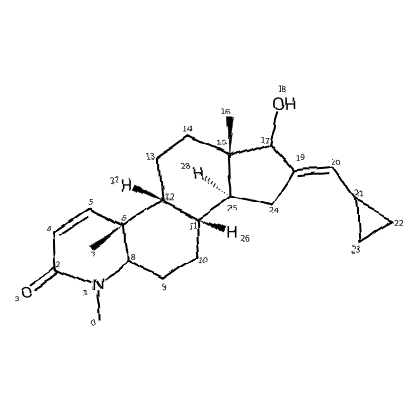 CN1C(=O)C=C[C@@]2(C)C1CC[C@@H]1[C@H]2CC[C@]2(C)C(O)C(=CC3CC3)C[C@@H]12